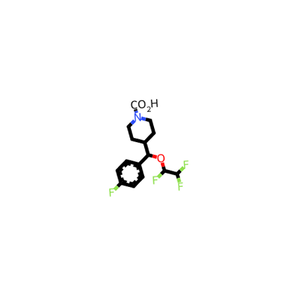 O=C(O)N1CCC(C(OC(F)C(F)F)c2ccc(F)cc2)CC1